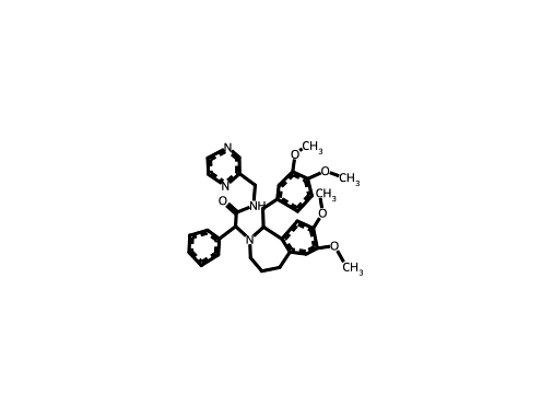 COc1ccc(CC2c3cc(OC)c(OC)cc3CCCN2C(C(=O)NCc2cnccn2)c2ccccc2)cc1OC